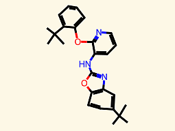 CC(C)(C)c1ccc2oc(Nc3cccnc3Oc3ccccc3C(C)(C)C)nc2c1